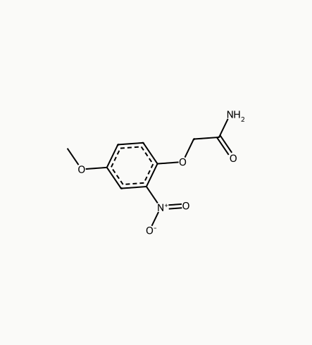 COc1ccc(OCC(N)=O)c([N+](=O)[O-])c1